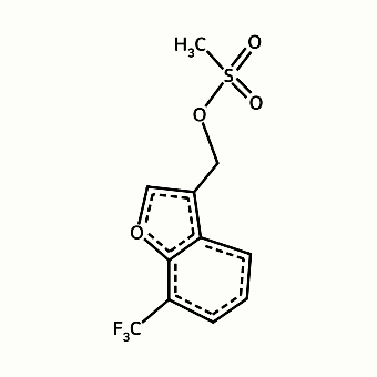 CS(=O)(=O)OCc1coc2c(C(F)(F)F)cccc12